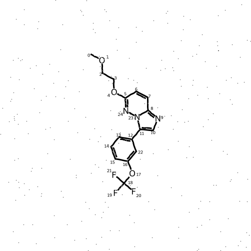 COCCOc1ccc2ncc(-c3cccc(OC(F)(F)F)c3)n2n1